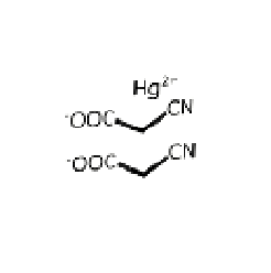 N#CCC(=O)[O-].N#CCC(=O)[O-].[Hg+2]